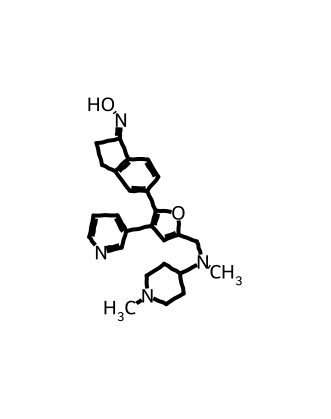 CN1CCC(N(C)Cc2cc(-c3cccnc3)c(-c3ccc4c(c3)CCC4=NO)o2)CC1